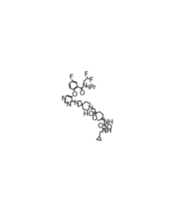 CC(C)N(CC(F)F)C(=O)c1cc(F)ccc1Oc1cncnc1N1CC2(CCN(C[C@@]3(O)CC[C@@H](NS(=O)(=O)NCC4CC4)CO3)CC2)C1